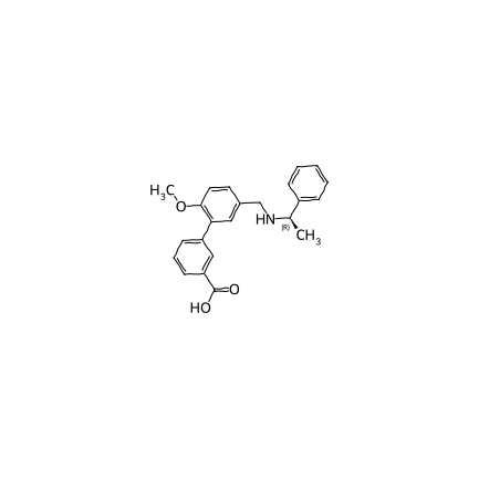 COc1ccc(CN[C@H](C)c2ccccc2)cc1-c1cccc(C(=O)O)c1